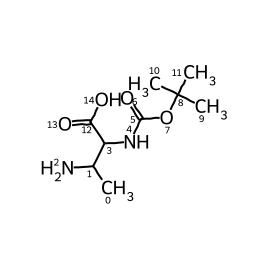 CC(N)C(NC(=O)OC(C)(C)C)C(=O)O